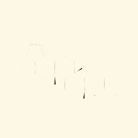 CCC[C@@]12CC[C@]3(C)[C@H](CC[C@@H]4[C@@]5(C)CC[C@H](O)C(C)(C)[C@@H]5CC[C@]43C)C1=C(C(C)C)C(=O)C2